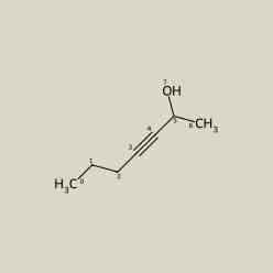 CCCC#CC(C)O